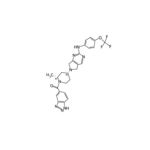 C[C@@H]1C[C@H](N2Cc3cnc(Nc4ccc(OC(F)(F)F)cc4)nc3C2)CCN1C(=O)c1ccc2[nH]nnc2c1